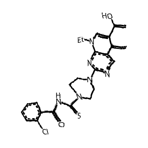 C=C(O)C1=CN(CC)c2nc(N3CCN(C(=S)NC(=O)c4ccccc4Cl)CC3)ncc2C1=C